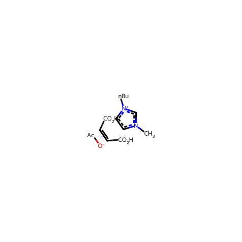 CC(=O)[O-].CCCC[n+]1ccn(C)c1.O=C(O)/C=C\C(=O)O